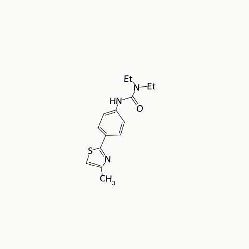 CCN(CC)C(=O)Nc1ccc(-c2nc(C)cs2)cc1